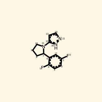 Fc1ccc(F)c(C2CCCN2c2ccn[nH]2)c1